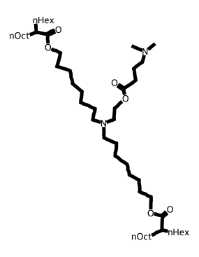 CCCCCCCCC(CCCCCC)C(=O)OCCCCCCCCN(CCCCCCCCOC(=O)C(CCCCCC)CCCCCCCC)CCOC(=O)CCCN(C)C